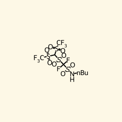 CCCCNS(=O)(=O)C(F)(F)S(=O)(=O)C(S(=O)(=O)C(F)(F)F)S(=O)(=O)C(F)(F)F